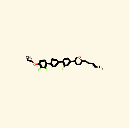 C/C=C/CCC1CCC(c2ccc(-c3ccc(-c4ccc(OCCC)c(F)c4F)cc3)c(F)c2)CO1